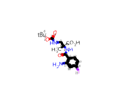 CC(C)(C)OC(=O)NC[C@](C)(NC(=O)c1ccc(I)cc1N)C(=O)O